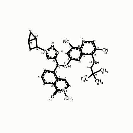 Cn1ccc2c([C@H](Nc3cc(C#N)c4ncc(C#N)c(NCC(C)(C)C(F)(F)F)c4c3)c3cn(C4CC5CC54)nn3)cccc2c1=O